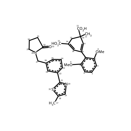 COc1cccc(OC)c1C1=CC(C)(C(=O)O)CC(C(=O)O)=C1.Cc1cnc(-c2cccc(CN3CCCC3=O)c2)s1